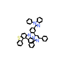 c1ccc(-c2cc(-c3cc(-c4nc5ccccc5n4-c4ccccc4)ccc3-n3c4ccccc4c4c5c(ccc43)sc3ccccc35)nc(-c3ccccc3)n2)cc1